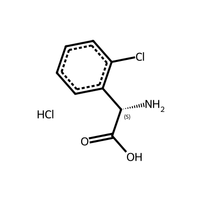 Cl.N[C@H](C(=O)O)c1ccccc1Cl